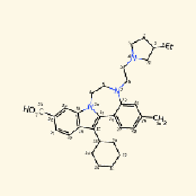 CCC1CCN(CCN2CCn3c(c(C4CCCCC4)c4ccc(C(=O)O)cc43)-c3ccc(C)cc32)C1